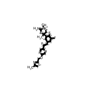 Cc1csc(COc2cnc(C(F)=Cc3cc(F)c(F)c(C4(C)CSN(C)C(N)=N4)c3)cn2)n1